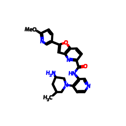 COc1ccc(-c2cc3nc(C(=O)Nc4cnccc4N4CC(C)CC(N)C4)ccc3o2)cn1